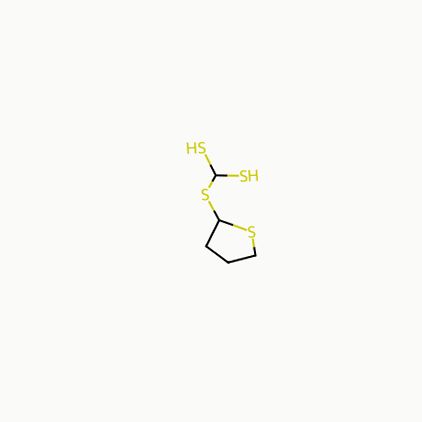 SC(S)SC1CCCS1